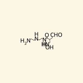 NCCNCCNC(=O)C(CC=O)CNO